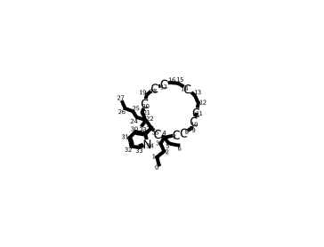 CCCCC1(CC)CCCCCCCCCCCCCCCC(C)(CCCC)C(c2ccccn2)C1